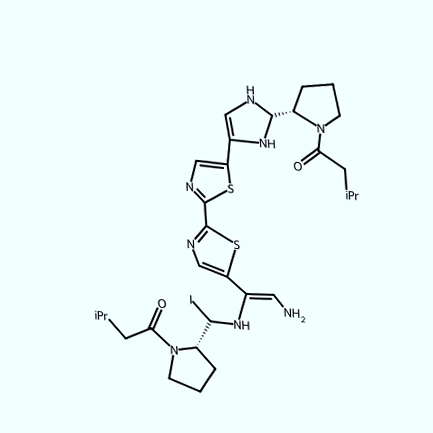 CC(C)CC(=O)N1CCC[C@H]1C(I)N/C(=C\N)c1cnc(-c2ncc(C3=CNC([C@@H]4CCCN4C(=O)CC(C)C)N3)s2)s1